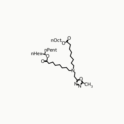 CCCCCCCCOC(=O)CCCCCCCN(CCCCCCCC(=O)OC(CCCCC)CCCCCC)CCc1nnc(C)o1